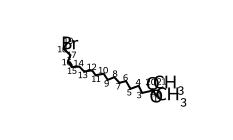 COC(CCCCCCCCCCCC/C=C\CCBr)OC